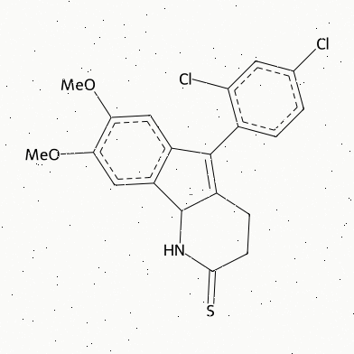 COc1cc2c(cc1OC)C1NC(=S)CCC1=C2c1ccc(Cl)cc1Cl